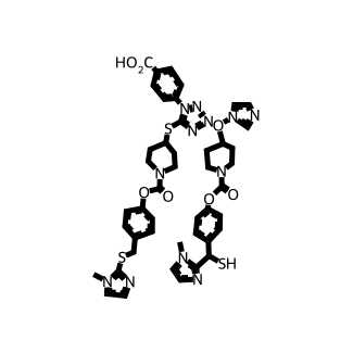 Cn1ccnc1C(S)c1ccc(OC(=O)N2CCC(On3ccnc3)CC2)cc1.Cn1ccnc1SCc1ccc(OC(=O)N2CCC(Sc3nnnn3-c3ccc(C(=O)O)cc3)CC2)cc1